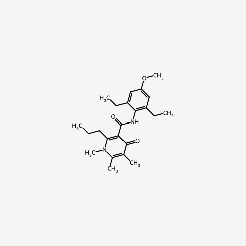 CCCc1c(C(=O)Nc2c(CC)cc(OC)cc2CC)c(=O)c(C)c(C)n1C